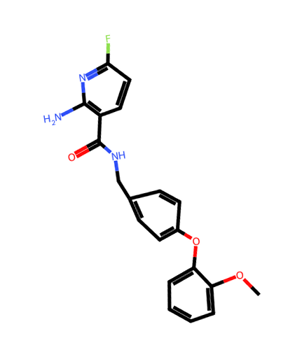 COc1ccccc1Oc1ccc(CNC(=O)c2ccc(F)nc2N)cc1